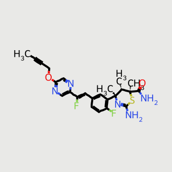 CC#CCOc1cnc(/C(F)=C/c2ccc(F)c([C@@]3(C)N=C(N)S[C@](C)(C(N)=O)[C@H]3C)c2)cn1